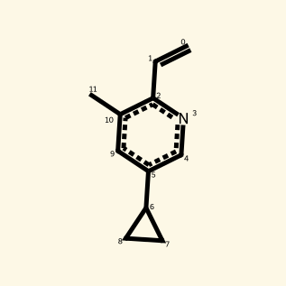 C=Cc1ncc(C2CC2)cc1C